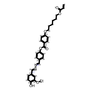 C=CC(=O)OCCCCCCOc1ccc(C(=O)Oc2ccc(/C=N/N=C/c3ccc(O)c(OCC)c3)cc2)cc1